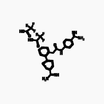 N=C(N)c1ccc(NC(=O)Cc2ccccc2-c2ccc(C(=N)N)cc2)cc1.O=C(O)C(F)(F)F.O=C(O)C(F)(F)F